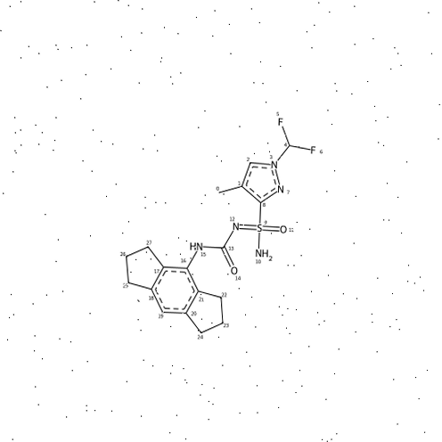 Cc1cn(C(F)F)nc1S(N)(=O)=NC(=O)Nc1c2c(cc3c1CCC3)CCC2